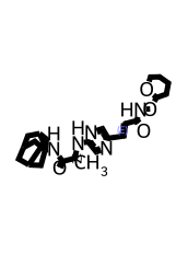 C[C@@H](Nc1cnc(/C=C/C(=O)NOC2CCCCO2)cn1)C(=O)NC12CC3CC(CC(C3)C1)C2